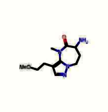 COCCc1cnn2c1N(C)C(=O)C(N)CC2